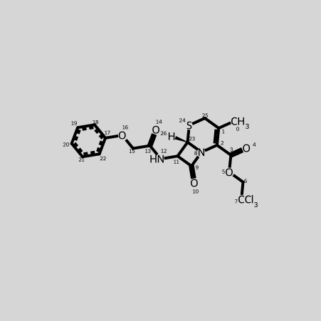 CC1=C(C(=O)OCC(Cl)(Cl)Cl)N2C(=O)C(NC(=O)COc3ccccc3)[C@@H]2SC1